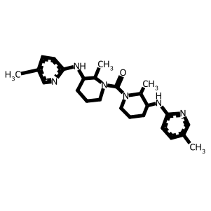 Cc1ccc(NC2CCCN(C(=O)N3CCCC(Nc4ccc(C)cn4)C3C)C2C)nc1